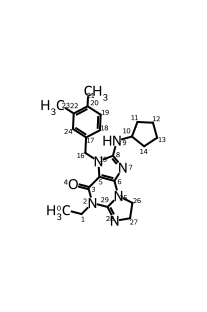 CCN1C(=O)c2c(nc(NC3CCCC3)n2Cc2ccc(C)c(C)c2)N2CCN=C12